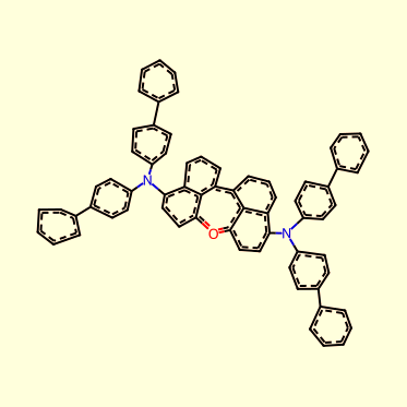 c1ccc(-c2ccc(N(c3ccc(-c4ccccc4)cc3)c3ccc4oc5ccc(N(c6ccc(-c7ccccc7)cc6)c6ccc(-c7ccccc7)cc6)c6cccc(c7cccc3c47)c56)cc2)cc1